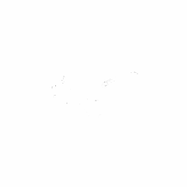 CC(C)(C)CC#Cc1cccc(Oc2[nH]nnc2C(=O)O)c1